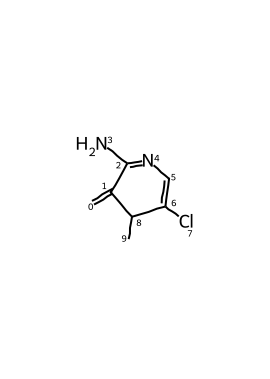 C=C1C(N)=NC=C(Cl)C1C